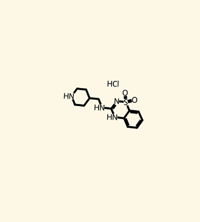 Cl.O=S1(=O)N=C(NCC2CCNCC2)Nc2ccccc21